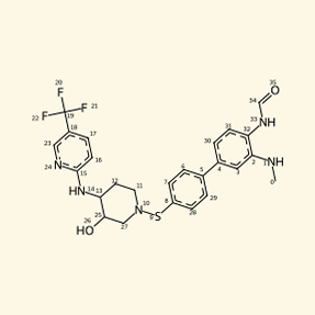 CNc1cc(-c2ccc(SN3CCC(Nc4ccc(C(F)(F)F)cn4)C(O)C3)cc2)ccc1NC=O